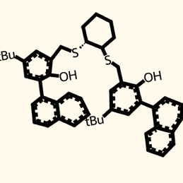 CC(C)(C)c1cc(CSC2CCCC[C@H]2SCc2cc(C(C)(C)C)cc(-c3cccc4ccccc34)c2O)c(O)c(-c2cccc3ccccc23)c1